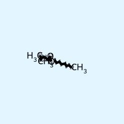 CCCCCCCCCOC(=O)CCC(C)C